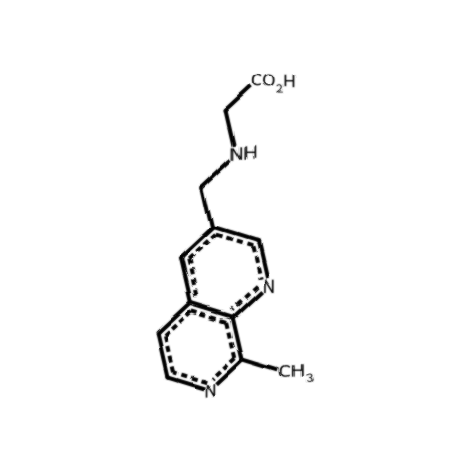 Cc1nccc2cc(CNCC(=O)O)cnc12